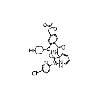 CS(=O)(=O)Cc1ccc(C(=O)NC2(C(=O)Nc3ccc(Cl)cn3)C=CC=CN2)c(OC2CCNCC2)c1